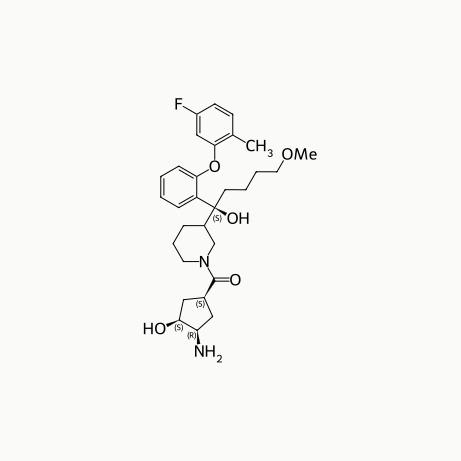 COCCCC[C@@](O)(c1ccccc1Oc1cc(F)ccc1C)C1CCCN(C(=O)[C@H]2C[C@@H](N)[C@@H](O)C2)C1